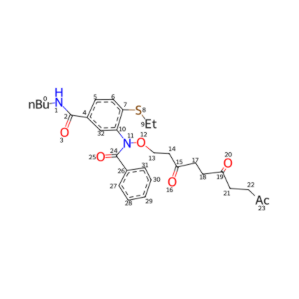 CCCCNC(=O)c1ccc(SCC)c(N(OCCC(=O)CCC(=O)CCC(C)=O)C(=O)c2ccccc2)c1